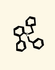 c1ccc(CP(Cc2ccccc2)c2ccccc2-c2ccccc2)cc1